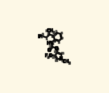 CC(C)CC(C)c1ccccc1NC(=O)Oc1cn(C)cc1C(F)(F)F